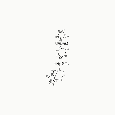 O=C(NC12CCCC3CC(CC3C1)C2)C1CCN(S(=O)(=O)c2cccs2)CC1